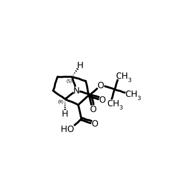 CC(C)(C)OC(=O)N1[C@H]2CC[C@@H]1C(C(=O)O)C(=O)C2